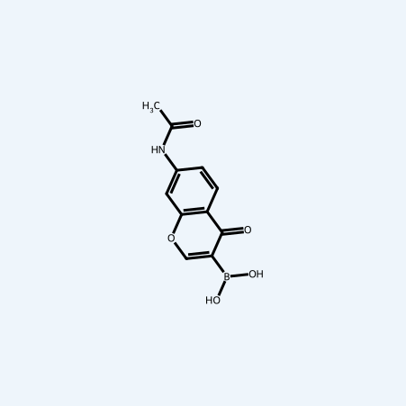 CC(=O)Nc1ccc2c(=O)c(B(O)O)coc2c1